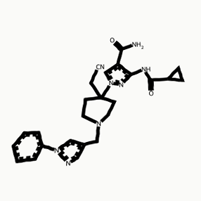 N#CCC1(n2cc(C(N)=O)c(NC(=O)C3CC3)n2)CCN(Cc2cnn(-c3ccccc3)c2)CC1